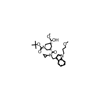 COCCCn1cc(CN(C(=O)[C@H]2C[C@@H](C(O)OC)CN(C(=O)OC(C)(C)C)C2)C2CC2)c2ccccc21